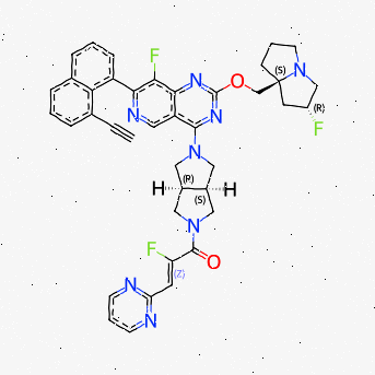 C#Cc1cccc2cccc(-c3ncc4c(N5C[C@H]6CN(C(=O)/C(F)=C/c7ncccn7)C[C@H]6C5)nc(OC[C@@]56CCCN5C[C@H](F)C6)nc4c3F)c12